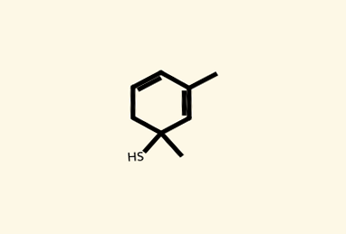 CC1=CC(C)(S)CC=C1